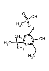 CC(C)(C)c1cc(I)c(O)c(CN)c1.CS(=O)(=O)O